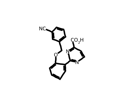 N#Cc1cccc(COc2ccccc2-c2nccc(C(=O)O)n2)c1